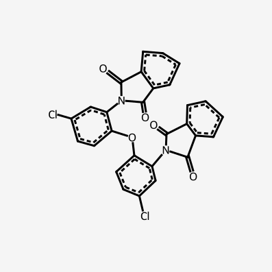 O=C1c2ccccc2C(=O)N1c1cc(Cl)ccc1Oc1ccc(Cl)cc1N1C(=O)c2ccccc2C1=O